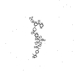 Cc1ncsc1-c1ccc([C@H](C)NC(=O)[C@@H]2CCCN2C(=O)[C@@H](NC(=O)c2cnc(C(=O)N3CCC(c4cc(Nc5cnccn5)nc(N5CCC(F)(F)C5)c4)CC3)cn2)C(C)(C)C)cc1